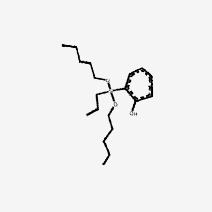 CCCCCO[Si](CCC)(OCCCCC)c1ccccc1O